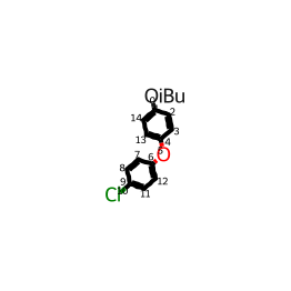 CC(C)COc1ccc(Oc2ccc(Cl)cc2)cc1